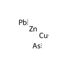 [As].[Cu].[Pb].[Zn]